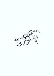 C=C(CC(C)C)[n+]1ccc(CC2CC3CCC2CC3)cc1-c1c(CCC)ccc2c1oc1nc(C)ccc12